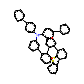 c1ccc(-c2ccc(N(c3ccc(-c4ccccc4)cc3)c3cccc(-c4ccccc4-c4ccccc4-c4cccc5c4sc4ccccc45)c3)cc2)cc1